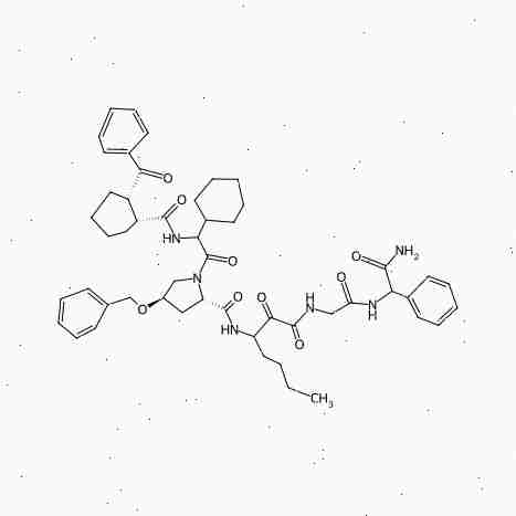 CCCCC(NC(=O)[C@@H]1C[C@@H](OCc2ccccc2)CN1C(=O)C(NC(=O)[C@@H]1CCCC[C@@H]1C(=O)c1ccccc1)C1CCCCC1)C(=O)C(=O)NCC(=O)NC(C(N)=O)c1ccccc1